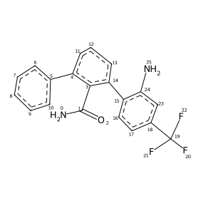 NC(=O)c1c(-c2ccccc2)cccc1-c1ccc(C(F)(F)F)cc1N